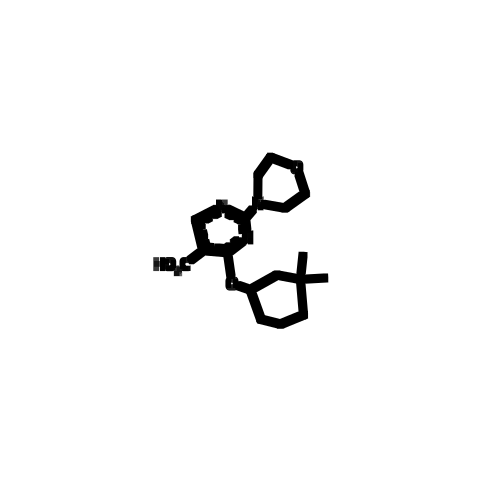 CC1(C)CCCC(Oc2nc(N3CCOCC3)ncc2C(=O)O)C1